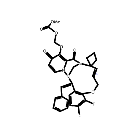 COC(=O)OCOc1c2n(ccc1=O)N1CN(C2=O)C2(/C=C/COc3c(ccc(F)c3F)C1=Cc1ccccc1)CCC2